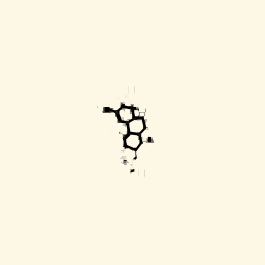 C#C[C@@]12CC[C@H]3C(C)(C)C(=O)C(C#N)=C[C@]3(C)C1=CC(=O)[C@H](CN(C)C)C2